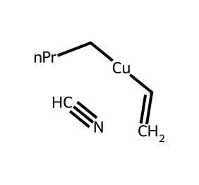 C#N.C=[CH][Cu][CH2]CCC